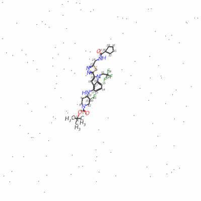 CC(C)(C)OC(=O)N1CC[C@@H](Nc2cccc3c2cc(-c2nnc(CNC(=O)C4CCCC4)s2)n3CC(F)(F)F)[C@@H](F)C1